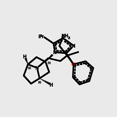 Cc1nnc(C(C)C)n1[C@@H]1C[C@H]2CC[C@@H](C1)N2CCC(C)(CN)c1ccccc1